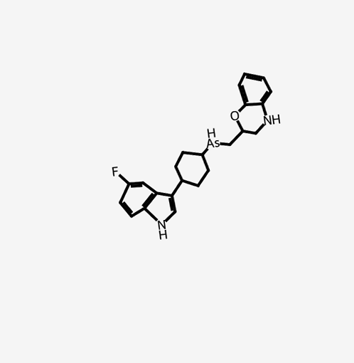 Fc1ccc2[nH]cc(C3CCC([AsH]CC4CNc5ccccc5O4)CC3)c2c1